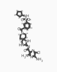 Nc1nc(N)c(C(=O)/N=C2\NCC3(CCN(C(=O)c4cccc(S(=O)(=O)NC5CCCC5)c4)CC3)N2)nc1Cl